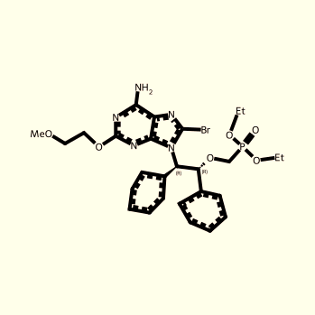 CCOP(=O)(CO[C@H](c1ccccc1)[C@@H](c1ccccc1)n1c(Br)nc2c(N)nc(OCCOC)nc21)OCC